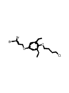 CCc1cc(OCC=C(Br)Br)cc(CC)c1OCCCCCl